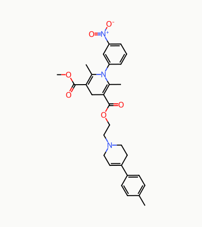 COC(=O)C1=C(C)N(c2cccc([N+](=O)[O-])c2)C(C)=C(C(=O)OCCN2CC=C(c3ccc(C)cc3)CC2)C1